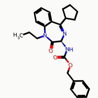 CCCN1C(=O)[C@H](NC(=O)OCc2ccccc2)N=C(C2CCCC2)c2ccccc21